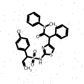 C=CC(c1ccc(Cl)cc1)S(=O)(=O)Nc1nc(C(C(=O)N(C)c2ccccc2)c2ccccc2)cs1